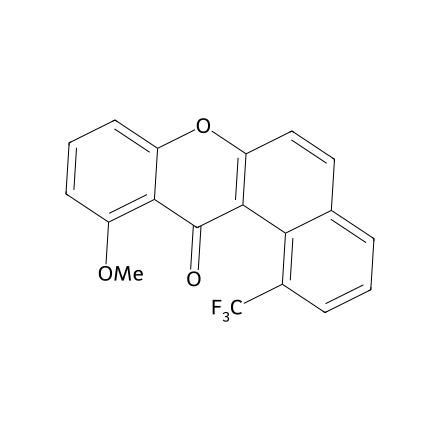 COc1cccc2oc3ccc4cccc(C(F)(F)F)c4c3c(=O)c12